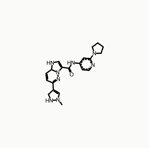 CN1C=C(C2=NN3C(C(=O)Nc4ccnc(N5CCCC5)c4)=CNC3C=C2)CN1